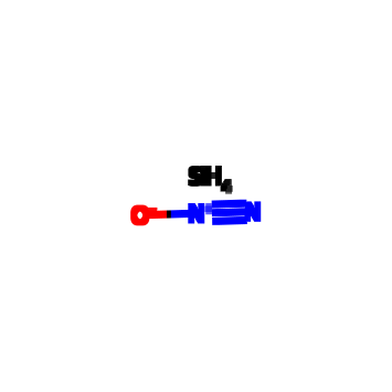 N#[N+][O-].[SiH4]